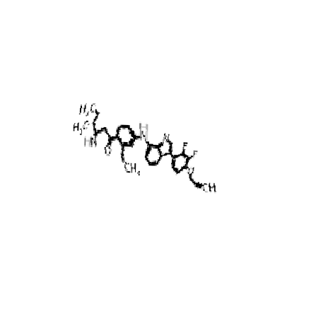 C#CCOc1ccc(C2=CN=C3C(Nc4ccc(C(=O)CC(=N)[C@H](C)CC)c(CC)c4)=CC=CC23)c(F)c1F